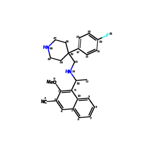 COc1c(C#N)cc2ccccc2c1C(C)NCC1(c2ccc(F)cc2)CCNCC1